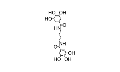 O=C(NCCCCNC(=O)c1cc(O)c(O)c(O)c1)C1=CC(O)=C(O)C(O)C1